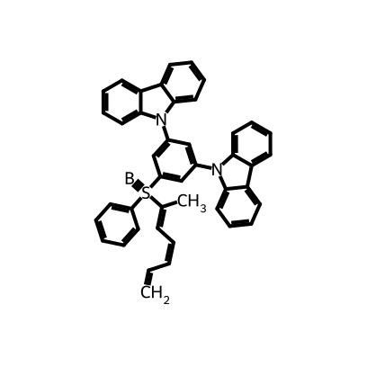 B#S(/C(C)=C/C=C\C=C)(c1ccccc1)c1cc(-n2c3ccccc3c3ccccc32)cc(-n2c3ccccc3c3ccccc32)c1